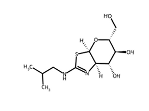 CC(C)CNC1=N[C@@H]2[C@@H](O)[C@H](O)[C@@H](CO)O[C@@H]2S1